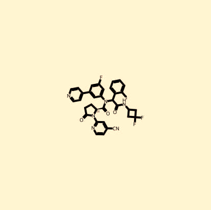 N#Cc1ccnc(N2C(=O)CC[C@H]2C(=O)N(c2cc(F)cc(-c3ccncc3)c2)C(C(=O)NC2CC(F)(F)C2)c2ccccc2I)c1